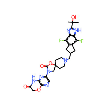 CC(C)(O)c1nc2c(F)c3c(c(F)c2[nH]1)CC(CN1CCC2(CC1)CN(c1cnc4c(n1)NC(=O)CO4)C(=O)O2)C3